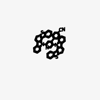 N#Cc1ccc(-c2cc(-n3c4ccccc4c4ccc5sc6ccccc6c5c43)ncc2-n2c3ccccc3c3ccc4sc5ccccc5c4c32)cc1